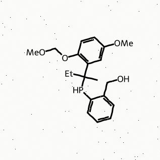 CCC(C)(Pc1ccccc1CO)c1cc(OC)ccc1OCOC